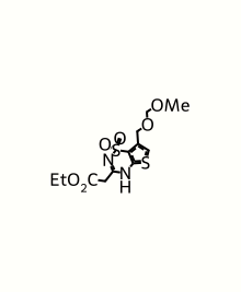 CCOC(=O)CC1=NS(=O)(=O)c2c(COCOC)csc2N1